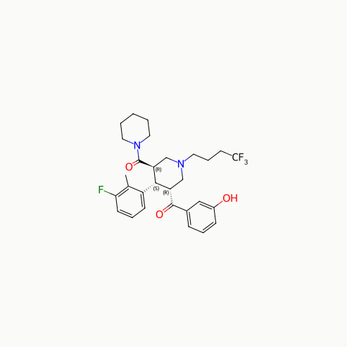 Cc1c(F)cccc1[C@H]1[C@@H](C(=O)c2cccc(O)c2)CN(CCCC(F)(F)F)C[C@@H]1C(=O)N1CCCCC1